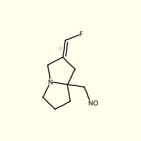 O=NCC12CCCN1C/C(=C/F)C2